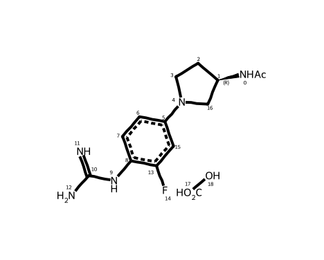 CC(=O)N[C@@H]1CCN(c2ccc(NC(=N)N)c(F)c2)C1.O=C(O)O